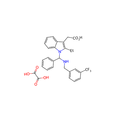 CCc1c(CC(=O)O)c2ccccc2n1C(NCc1cccc(C(F)(F)F)c1)c1ccccc1.O=C(O)C(=O)O